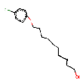 OCCCCCCCCCCOc1ccc(Cl)cc1